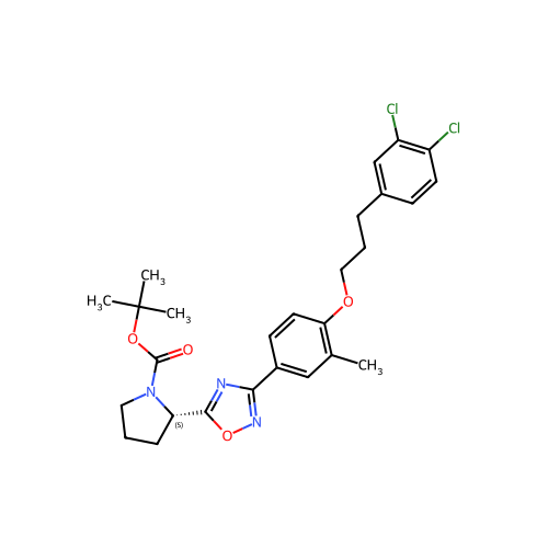 Cc1cc(-c2noc([C@@H]3CCCN3C(=O)OC(C)(C)C)n2)ccc1OCCCc1ccc(Cl)c(Cl)c1